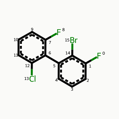 Fc1cccc(-c2c(F)cccc2Cl)c1Br